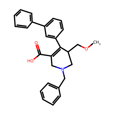 COCC1CN(Cc2ccccc2)CC(C(=O)O)=C1c1cccc(-c2ccccc2)c1